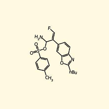 CCCCc1nc2ccc(C(=CF)C(N)OS(=O)(=O)c3ccc(C)cc3)cc2o1